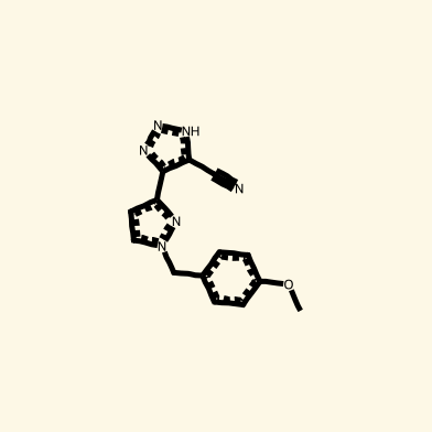 COc1ccc(Cn2ccc(-c3nn[nH]c3C#N)n2)cc1